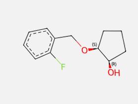 O[C@@H]1CCC[C@@H]1OCc1ccccc1F